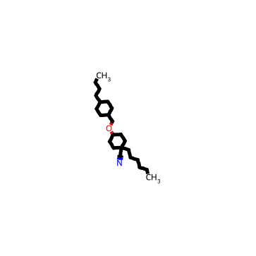 CCCCCCC1(C#N)CCC(OCC2CCC(CCCC)CC2)CC1